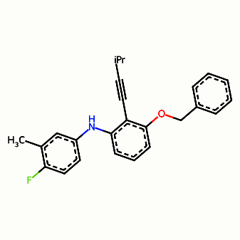 Cc1cc(Nc2cccc(OCc3ccccc3)c2C#CC(C)C)ccc1F